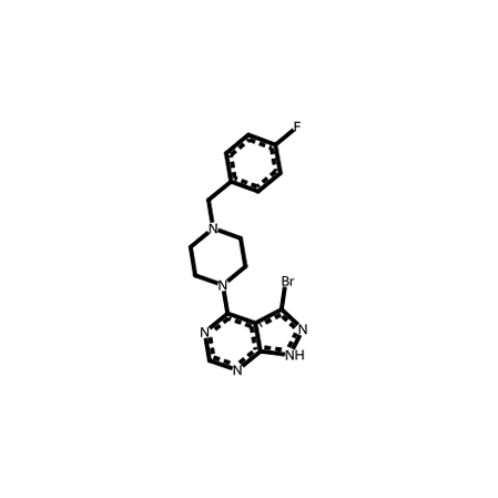 Fc1ccc(CN2CCN(c3ncnc4[nH]nc(Br)c34)CC2)cc1